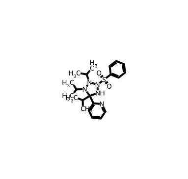 CC(C)N1N(C(C)C)C(c2ccccn2)(C(C)C)NN1S(=O)(=O)c1ccccc1